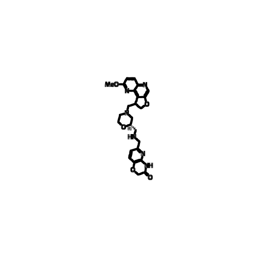 COc1ccc2ncc3c(c2n1)C(CN1CCO[C@@H](CNCc2ccc4c(n2)NC(=O)CO4)C1)CO3